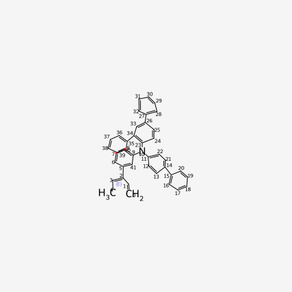 C=C/C(=C\C)c1cccc(N(c2ccc(-c3ccccc3)cc2)c2ccc(-c3ccccc3)cc2-c2ccccc2)c1